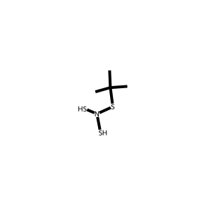 CC(C)(C)SN(S)S